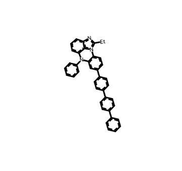 CCc1nc2cccc3c2n1-c1ccc(-c2ccc(-c4ccc(-c5ccccc5)cc4)cc2)cc1N3c1ccccc1